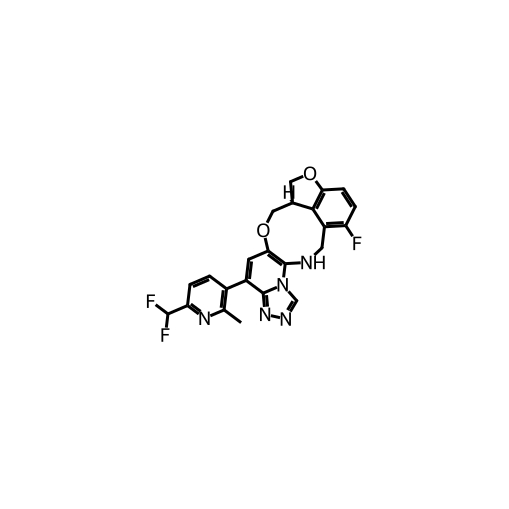 Cc1nc(C(F)F)ccc1-c1cc2c(n3cnnc13)NCc1c(F)ccc3c1[C@@H](CO3)CO2